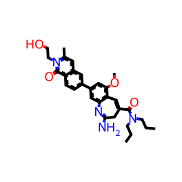 CCCN(CCC)C(=O)C1=Cc2c(cc(-c3ccc4c(=O)n(CCO)c(C)cc4c3)cc2OC)N=C(N)C1